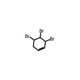 BrC1C=CCC(Br)C1Br